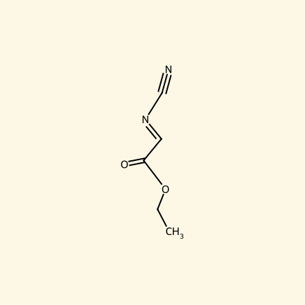 CCOC(=O)C=NC#N